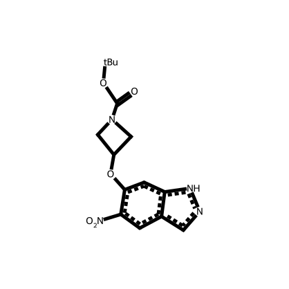 CC(C)(C)OC(=O)N1CC(Oc2cc3[nH]ncc3cc2[N+](=O)[O-])C1